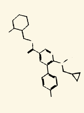 CN(CC1CC1)c1ncc(C(=O)NCC2CCCCC2O)cc1-c1ccc(Cl)cc1